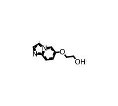 OCCOc1ccc2nc[c]n2c1